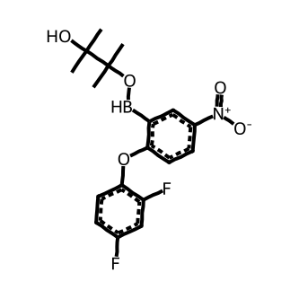 CC(C)(O)C(C)(C)OBc1cc([N+](=O)[O-])ccc1Oc1ccc(F)cc1F